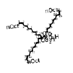 CCCCCCCC/C=C\CCCCCCCCC(CCCCCCCC/C=C\CCCCCCCC)(C(=O)O)C(OC(=O)CCCCCCC/C=C\CCCCCCCC)C(=O)O